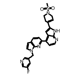 CS(=O)(=O)N1CC=C(c2cc3c(-c4ccc5ccn(Cc6cncc(F)c6)c5n4)ccnc3[nH]2)CC1